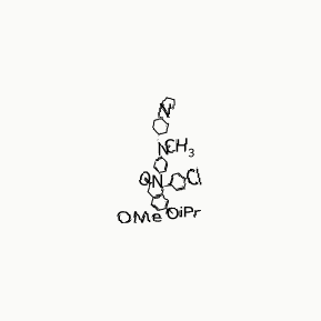 COc1cc2c(cc1OC(C)C)[C@H](c1ccc(Cl)cc1)N(c1ccc(N(C)C[C@H]3CC[C@H](N4CCCC4)CC3)cc1)C(=O)C2